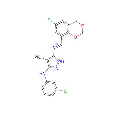 N#Cc1c(Nc2cccc(Cl)c2)n[nH]c1/N=C/c1cc(F)cc2c1OCOC2